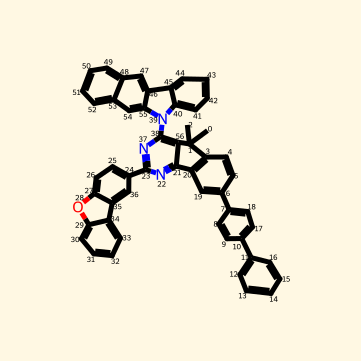 CC1(C)c2ccc(-c3ccc(-c4ccccc4)cc3)cc2-c2nc(-c3ccc4oc5ccccc5c4c3)nc(-n3c4ccccc4c4cc5ccccc5cc43)c21